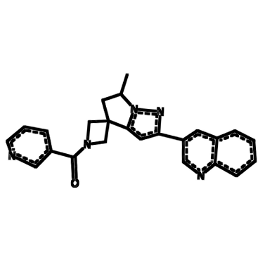 CC1CC2(CN(C(=O)c3cccnc3)C2)c2cc(-c3cnc4ccccc4c3)nn21